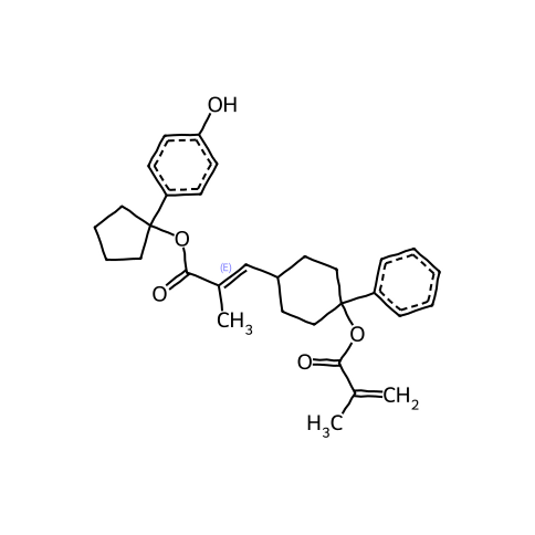 C=C(C)C(=O)OC1(c2ccccc2)CCC(/C=C(\C)C(=O)OC2(c3ccc(O)cc3)CCCC2)CC1